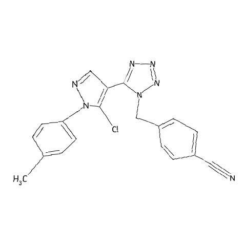 Cc1ccc(-n2ncc(-c3nnnn3Cc3ccc(C#N)cc3)c2Cl)cc1